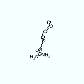 Nc1cc(N)cc(C(=O)OCCCCCOc2ccc(Cc3ccc(/C=C/C(=O)c4ccccc4)cc3)cc2)c1